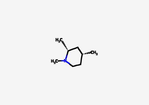 C[C@@H]1CCN(C)[C@H](C)C1